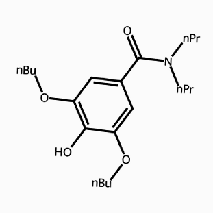 CCCCOc1cc(C(=O)N(CCC)CCC)cc(OCCCC)c1O